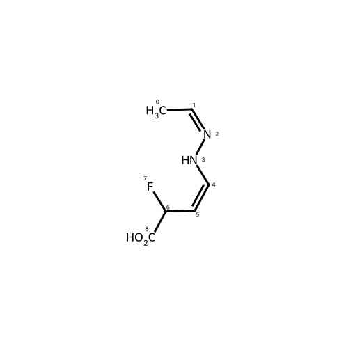 C/C=N\N/C=C\C(F)C(=O)O